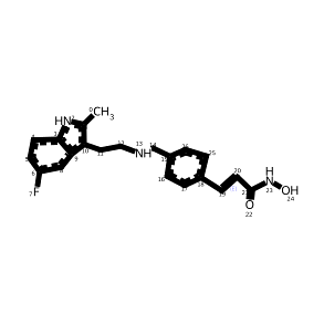 Cc1[nH]c2ccc(F)cc2c1CCNCc1ccc(/C=C/C(=O)NO)cc1